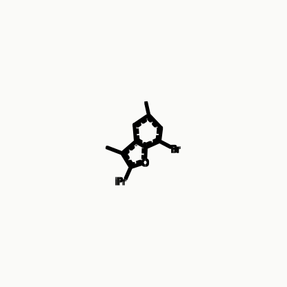 Cc1cc(Br)c2oc(C(C)C)c(C)c2c1